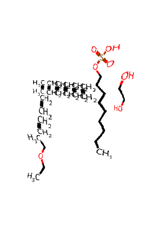 C=C.C=C.C=C.C=C.C=C.C=C.C=C.C=C.CCCCCCCCCOS(=O)(=O)O.CCOCC.OCCO